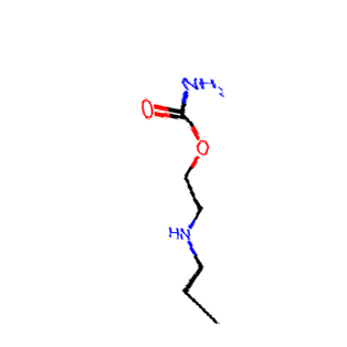 CCCNCCOC(N)=O